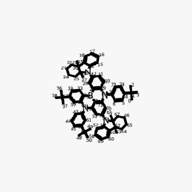 CC(C)(C)c1ccc(N2c3ccc(N4c5ccccc5C5(C)CCCCC45C)cc3B3c4ccc(C(C)(C)C)cc4N(c4cccc(C(C)(C)C)c4)c4cc(N5c6ccccc6C6(C)CCCCC56C)cc2c43)cc1